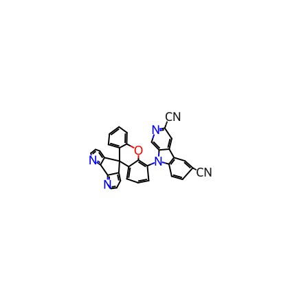 N#Cc1ccc2c(c1)c1cc(C#N)ncc1n2-c1cccc2c1Oc1ccccc1C21c2cccnc2-c2ncccc21